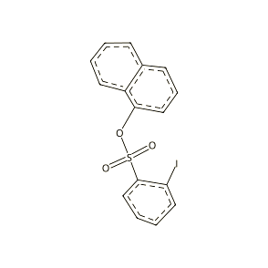 O=S(=O)(Oc1cccc2ccccc12)c1ccccc1I